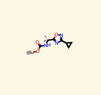 C[C@@H](NC(=O)OC(C)(C)C)c1nc(C2CC2)no1